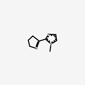 Cn1ccnc1C1=NCCC1